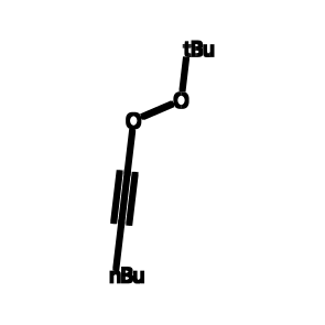 CCCCC#COOC(C)(C)C